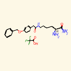 NC(=O)[C@@H](N)CCCCNC(=O)Cc1ccc(OCc2ccccc2)cc1.O=C(O)C(F)(F)F